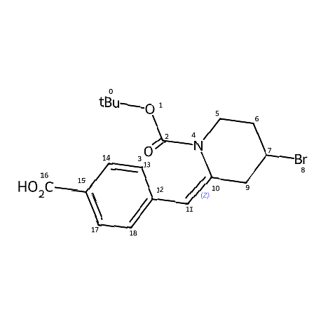 CC(C)(C)OC(=O)N1CCC(Br)C/C1=C/c1ccc(C(=O)O)cc1